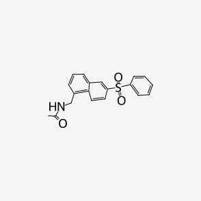 CC(=O)NCc1cccc2cc(S(=O)(=O)c3ccccc3)ccc12